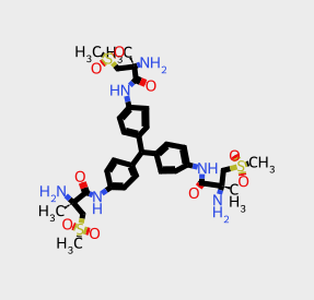 C[C@@](N)(CS(C)(=O)=O)C(=O)Nc1ccc(C(c2ccc(NC(=O)[C@](C)(N)CS(C)(=O)=O)cc2)c2ccc(NC(=O)[C@](C)(N)CS(C)(=O)=O)cc2)cc1